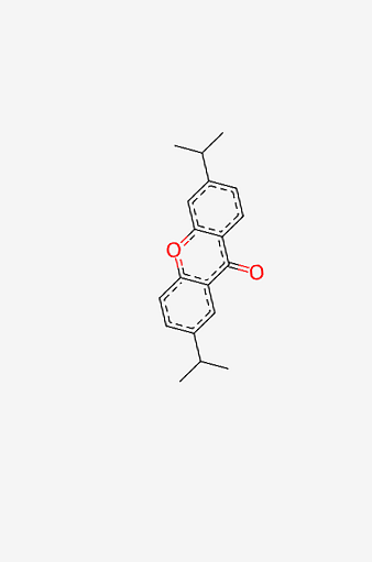 CC(C)c1ccc2c(=O)c3cc(C(C)C)ccc3oc2c1